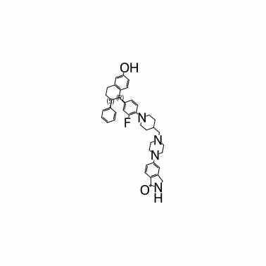 O=C1NCc2cc(N3CCN(CC4CCN(c5ccc([C@@H]6c7ccc(O)cc7CC[C@@H]6c6ccccc6)cc5F)CC4)CC3)ccc21